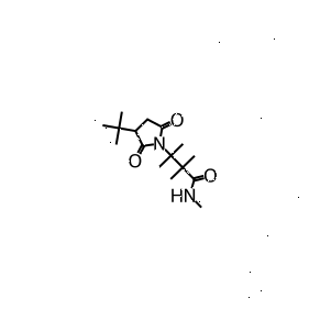 CNC(=O)C(C)(C)C(C)(C)N1C(=O)CC(C(C)(C)C)C1=O